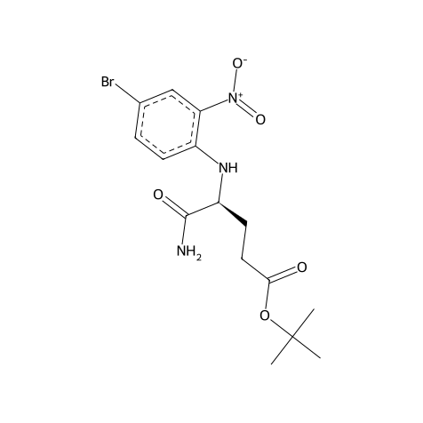 CC(C)(C)OC(=O)CC[C@H](Nc1ccc(Br)cc1[N+](=O)[O-])C(N)=O